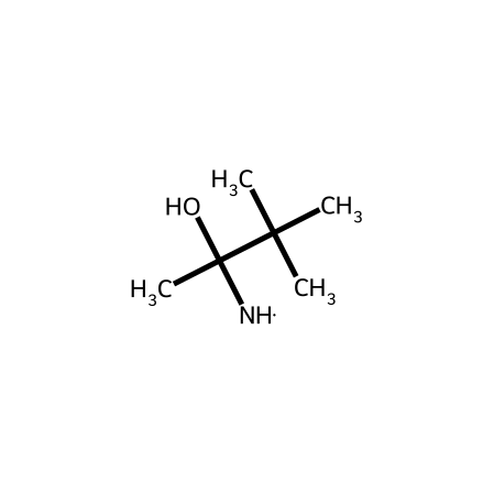 CC(C)(C)C(C)([NH])O